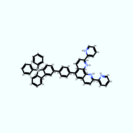 c1ccc([Si]2(c3ccccc3)c3ccccc3-c3cc(-c4ccc(-c5cc6ccc(-c7ccccn7)nc6c6nc(-c7ccccn7)ccc56)cc4)ccc32)cc1